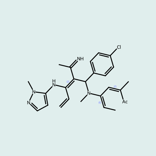 C=C/C(Nc1ccnn1C)=C(/C(C)=N)C(c1ccc(Cl)cc1)N(C)C(/C=C(/C)C(C)=O)=C/C